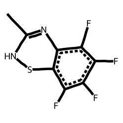 CC1=Nc2c(F)c(F)c(F)c(F)c2SN1